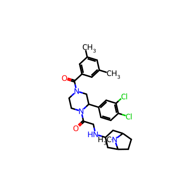 Cc1cc(C)cc(C(=O)N2CCN(C(=O)CNC3CC4CCC(C3)N4C)C(c3ccc(Cl)c(Cl)c3)C2)c1